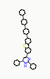 C1=C(c2ccc3c(c2)sc2cc(-c4ccc(-c5ccc(-c6ccccc6)cc5)cc4)ccc23)N=C(c2ccccc2)NC1c1ccccc1